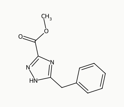 COC(=O)c1n[nH]c(Cc2ccccc2)n1